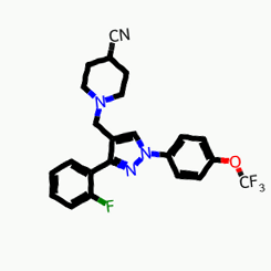 N#CC1CCN(Cc2cn(-c3ccc(OC(F)(F)F)cc3)nc2-c2ccccc2F)CC1